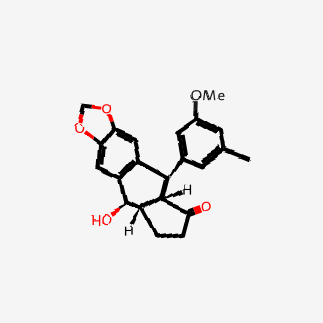 COc1cc(C)cc([C@@H]2c3cc4c(cc3[C@H](O)[C@H]3CCC(=O)[C@@H]23)OCO4)c1